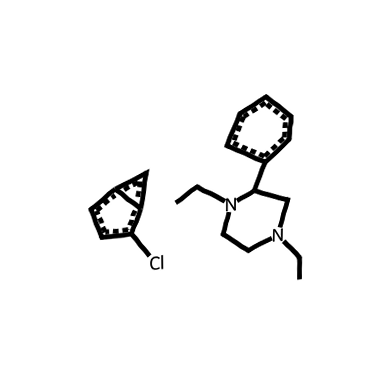 CCN1CCN(CC)C(c2ccccc2)C1.Clc1ccc2cc1-2